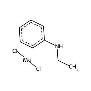 CCNc1ccccc1.[Cl][Mg][Cl]